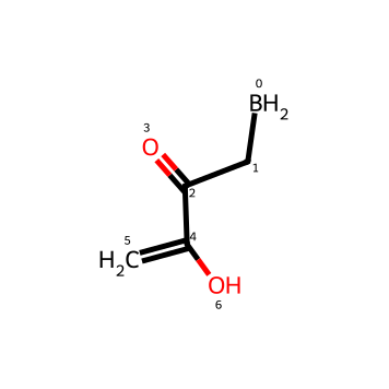 BCC(=O)C(=C)O